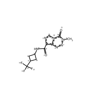 Cn1nnc2c(C(=O)NC3CC(C(F)(F)F)C3)ncn2c1=O